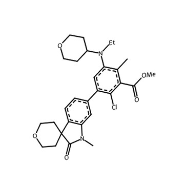 CCN(c1cc(-c2ccc3c(c2)N(C)C(=O)C32CCOCC2)c(Cl)c(C(=O)OC)c1C)C1CCOCC1